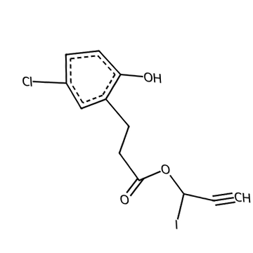 C#CC(I)OC(=O)CCc1cc(Cl)ccc1O